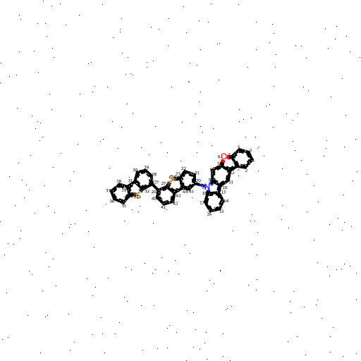 c1ccc2c(c1)oc1cc3c(cc12)c1ccccc1n3-c1ccc2sc3c(-c4cccc5c4sc4ccccc45)cccc3c2c1